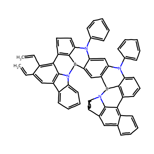 C=Cc1cc2c3ccccc3n3c2c(c1C=C)-c1cccc2c1B3c1cc3c(cc1N2c1ccccc1)N(c1ccccc1)c1cccc2c1B3n1c3ccccc3c3cc4ccccc4c-2c31